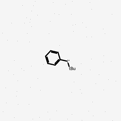 CC(C)(C)[I+]c1ccccc1